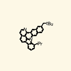 CC(C)c1cccc2c3ccc4ccnc5c6cc7cc(CC(C)(C)C)ccc7cc6n(c12)c3c45